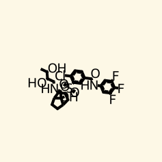 CC(O)C(O)CNC(=O)C1(O)C2CCC1CC(S(=O)(=O)c1cc(C(=O)Nc3cc(F)c(F)c(F)c3)ccc1Cl)C2